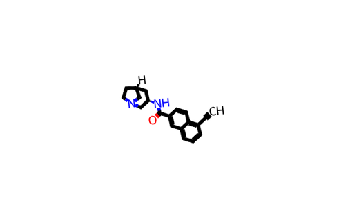 C#Cc1cccc2cc(C(=O)N[C@@H]3C[C@H]4CCN(C4)C3)ccc12